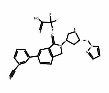 N#Cc1cccc(-c2ccc3c(c2)C(=O)N([C@H]2CN[C@H](Cn4cccn4)C2)C3)c1.O=C(O)C(F)(F)F